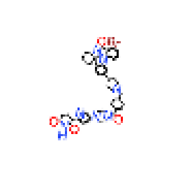 O=C1CCC(c2ccc(N3CCN(C(=O)C4CCC(CN5CCC(c6ccc7c(c6)-n6c(nc(=O)c8c(Br)cccc86)C76CCCCC6)CC5)CC4)CC3)cn2)C(=O)N1